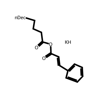 CCCCCCCCCCCCCC(=O)OC(=O)/C=C/c1ccccc1.[KH]